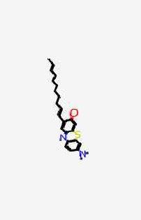 CCCCCCCCCC=Cc1cc2nc3ccc(N(C)C)cc3sc-2cc1=O